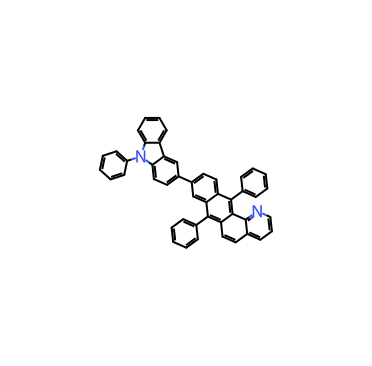 c1ccc(-c2c3cc(-c4ccc5c(c4)c4ccccc4n5-c4ccccc4)ccc3c(-c3ccccc3)c3c2ccc2cccnc23)cc1